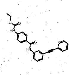 CCOC(=O)Nc1ccc(C(=O)Nc2cccc(C#Cc3ccccn3)c2)cc1